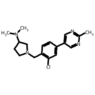 Cc1ncc(-c2ccc(CN3CCC(N(C)C)C3)c(Cl)c2)cn1